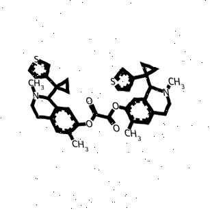 Cc1cc2c(cc1OC(=O)C(=O)Oc1cc3c(cc1C)CCN(C)C3C1(c3ccsc3)CC1)C(C1(c3ccsc3)CC1)N(C)CC2